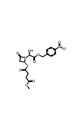 COC(=O)CCC(=O)S[C@H]1CC(=O)N1C(O)C(=O)OCc1ccc([N+](=O)[O-])cc1